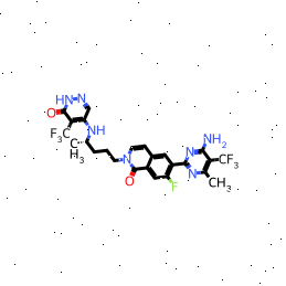 Cc1nc(-c2cc3ccn(CCC[C@H](C)Nc4cn[nH]c(=O)c4C(F)(F)F)c(=O)c3cc2F)nc(N)c1C(F)(F)F